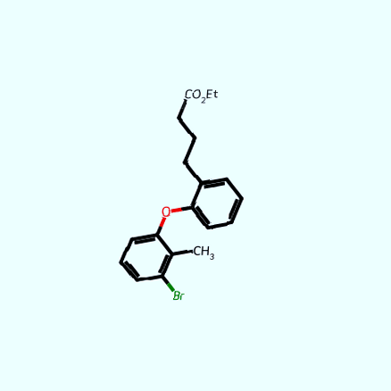 CCOC(=O)CCCc1ccccc1Oc1cccc(Br)c1C